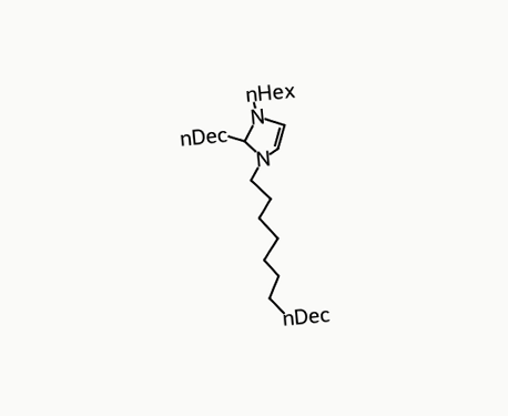 CCCCCCCCCCCCCCCCCN1C=CN(CCCCCC)C1CCCCCCCCCC